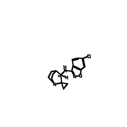 Clc1ccc2c(N[C@H]3C4CCN(CC4)C34CC4)noc2c1